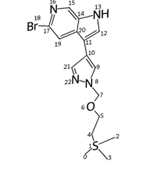 CS(C)(C)CCOCn1cc(-c2c[nH]c3cnc(Br)cc23)cn1